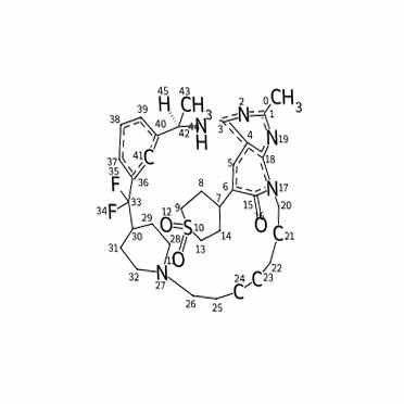 Cc1nc2c3cc(C4CCS(=O)(=O)CC4)c(=O)n(c3n1)CCCCCCCN1CCC(CC1)C(F)(F)c1cccc(c1)[C@@H](C)N2